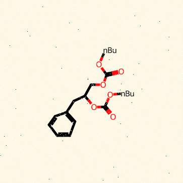 CCCCOC(=O)OCC(Cc1ccccc1)OC(=O)OCCCC